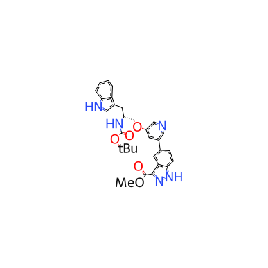 COC(=O)c1n[nH]c2ccc(-c3cncc(OC[C@@H](Cc4c[nH]c5ccccc45)NC(=O)OC(C)(C)C)c3)cc12